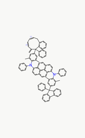 C=C1/C=C\C=C/Cc2ccccc2C1(c1ccccc1)c1cc(C)c(N(c2ccccc2)c2ccc3ccc4c(N(c5ccccc5)c5c(C)cc(C6(c7ccccc7)c7ccccc7-c7ccccc76)cc5C)ccc5ccc2c3c54)c(C)c1